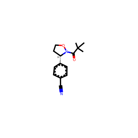 CC(C)(C)C(=O)N1OCC[C@H]1c1ccc(C#N)cc1